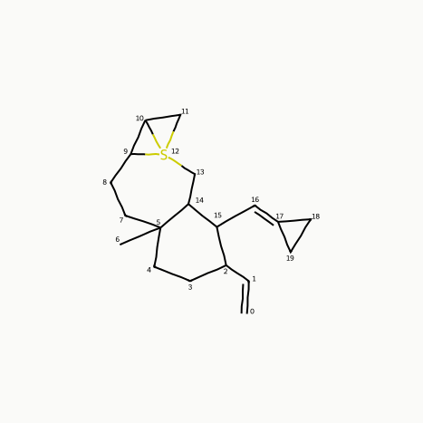 C=CC1CCC2(C)CCC3C4CS34CC2C1C=C1CC1